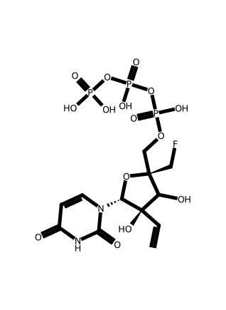 C=C[C@@]1(O)C(O)[C@@](CF)(COP(=O)(O)OP(=O)(O)OP(=O)(O)O)O[C@H]1n1ccc(=O)[nH]c1=O